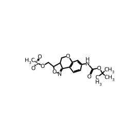 CC(C)(C)OC(=O)Nc1ccc2c(c1)OCC1C2=NOC1COS(C)(=O)=O